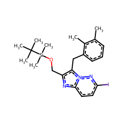 Cc1cccc(Cc2c(CO[Si](C)(C)C(C)(C)C)nc3ccc(I)nn23)c1C